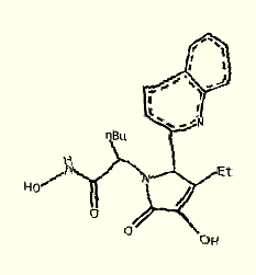 CCCCC(C(=O)NO)N1C(=O)C(O)=C(CC)C1c1ccc2ccccc2n1